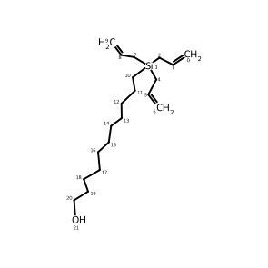 C=CC[Si](CC=C)(CC=C)CCCCCCCCCCCO